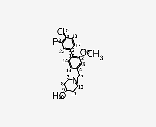 COc1cc(CN2CCC(O)CC2)ccc1-c1ccc(Cl)c(F)c1